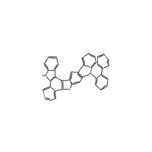 c1ccc(-c2ccccc2-n2c3ccccc3c3cc4c(cc32)sc2c3ccccc3c3[nH]c5ccccc5c3c42)cc1